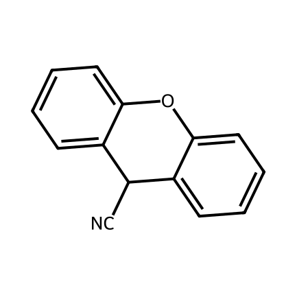 N#CC1c2ccccc2Oc2ccccc21